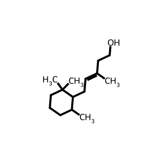 C/C(=C\CC1C(C)CCCC1(C)C)CCO